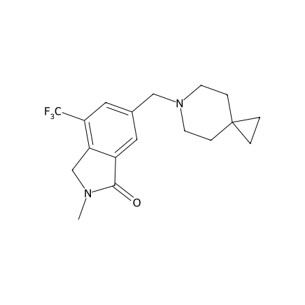 CN1Cc2c(cc(CN3CCC4(CC3)CC4)cc2C(F)(F)F)C1=O